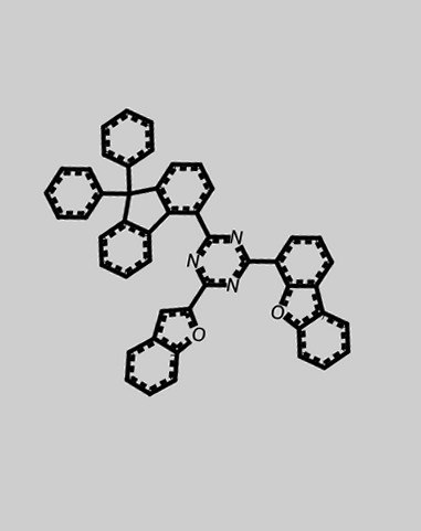 c1ccc(C2(c3ccccc3)c3ccccc3-c3c(-c4nc(-c5cc6ccccc6o5)nc(-c5cccc6c5oc5ccccc56)n4)cccc32)cc1